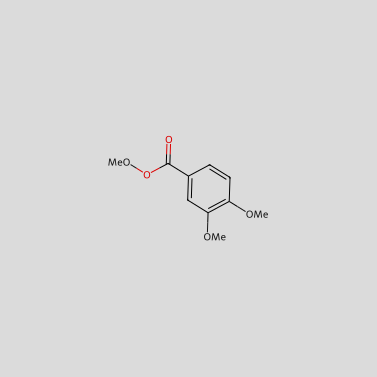 [CH2]OOC(=O)c1ccc(OC)c(OC)c1